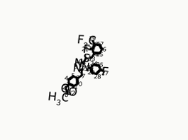 CC1Oc2ccc(Cc3nnc(SCc4cccc(C(F)(F)F)c4F)n3-c3ccc(F)cc3)cc2O1